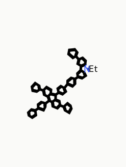 CCn1c2ccc(-c3ccccc3)cc2c2cc(-c3ccc(-c4ccc(-c5c6ccc(-c7ccccc7)cc6c(-c6ccc(-c7ccccc7)cc6)c6ccc(-c7ccccc7)cc56)cc4)cc3)ccc21